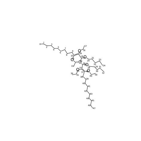 CCCCCCCCCCC(OCC)=C(OCC)C(OCCCCC)OC(OCCCCC)C(OCC)=C(CCCCCCCCCC)OCC